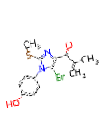 C=C(C)C(=O)c1nc(SC)n(-c2ccc(O)cc2)c1Br